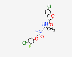 C=C(CCNC(=O)COc1ccc(Cl)c(F)c1)NC(=O)C1COc2cc(Cl)ccc2C1